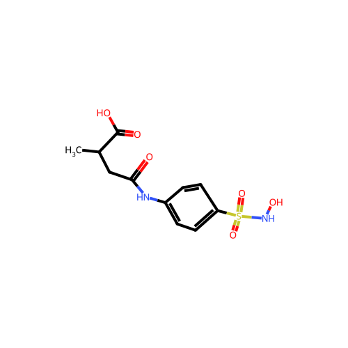 CC(CC(=O)Nc1ccc(S(=O)(=O)NO)cc1)C(=O)O